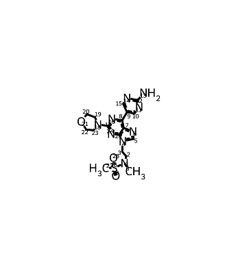 CN(CCn1cnc2c(-c3cnc(N)nc3)nc(N3CCOCC3)nc21)S(C)(=O)=O